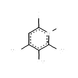 COc1[c]c(Br)[n+]([O-])c(OC)c1OC